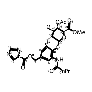 CCCC(=O)Nc1cc(COC(=O)n2cncn2)ccc1O[C@@H]1O[C@H](C(=O)OC)[C@@H](OC(C)=O)[C@H](C)[C@H]1C